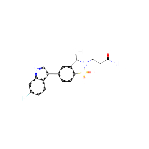 CC1c2cc(-c3c[nH]c4cc(F)ccc34)ccc2S(=O)(=O)N1CCC(N)=O